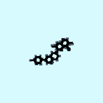 Cc1ccc(-c2cnc3c(c2)CN(c2nn4c(=O)c(C)cnc4cc2C)CC3)cn1